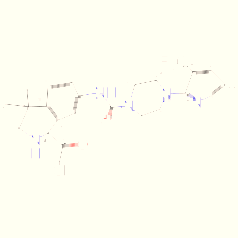 CC1(C)CNC(C(=O)C(F)(F)F)c2cc(NC(=O)N3CCN(c4ncccc4C(F)(F)F)CC3)ccc21